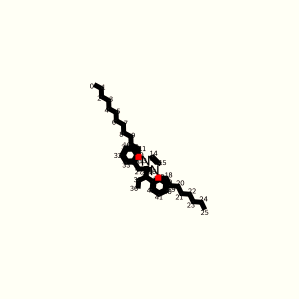 CCCCCCCCCCCCCN1C=CN(CCCCCCCCC)C1(Cc1ccccc1)C(CC)c1ccccc1